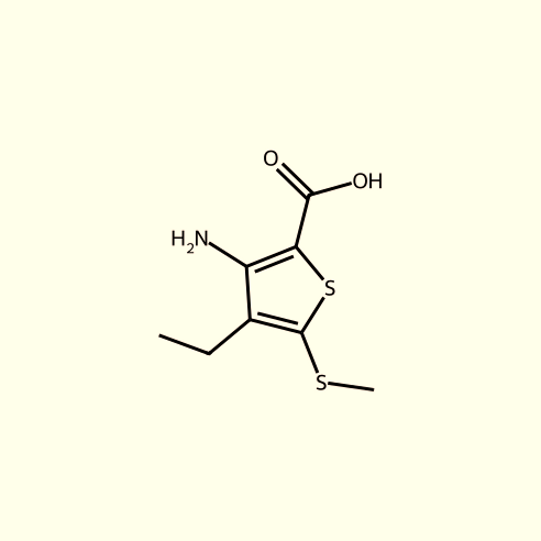 CCc1c(SC)sc(C(=O)O)c1N